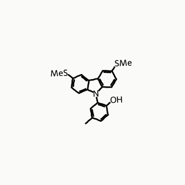 CSc1ccc2c(c1)c1cc(SC)ccc1n2-c1cc(C)ccc1O